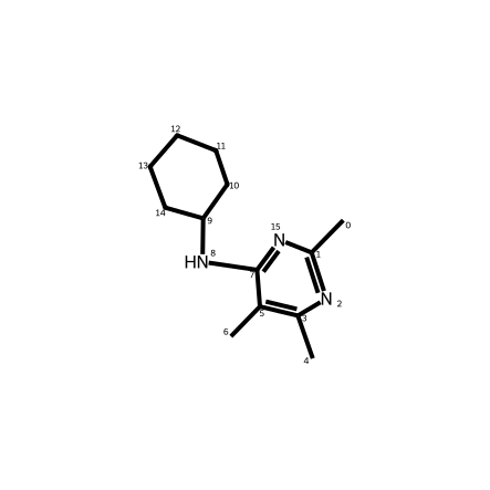 Cc1nc(C)c(C)c(NC2CCCCC2)n1